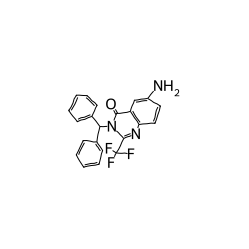 Nc1ccc2nc(C(F)(F)F)n(C(c3ccccc3)c3ccccc3)c(=O)c2c1